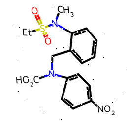 CCS(=O)(=O)N(C)c1ccccc1CN(C(=O)O)c1ccc([N+](=O)[O-])cc1